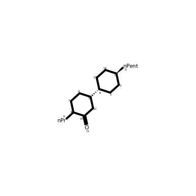 CCCCC[C@H]1CC[C@H](C2CCC(CCC)C(=O)C2)CC1